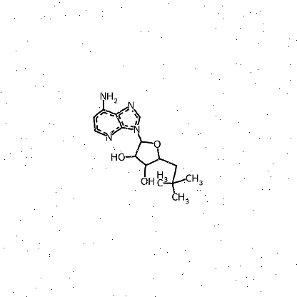 CC(C)(C)CC1OC(n2cnc3c(N)ccnc32)C(O)C1O